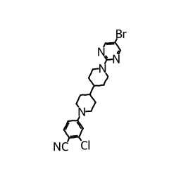 N#Cc1ccc(N2CCC(C3CCN(c4ncc(Br)cn4)CC3)CC2)cc1Cl